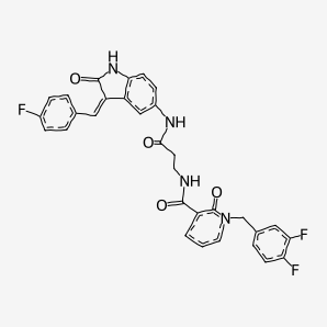 O=C(CCNC(=O)c1cccn(Cc2ccc(F)c(F)c2)c1=O)Nc1ccc2c(c1)C(=Cc1ccc(F)cc1)C(=O)N2